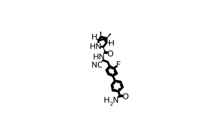 C[C@@H]1[C@H](C)[C@@H]2C[C@@H]1[C@@H](C(=O)N[C@H](C#N)Cc1ccc(-c3ccc(C(N)=O)cc3)cc1F)N2